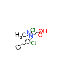 CCc1nc(Cl)c(/C=C/C(=O)O)n1Cc1ccc(C=Cc2ccccc2)cc1Cl